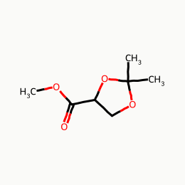 COC(=O)C1COC(C)(C)O1